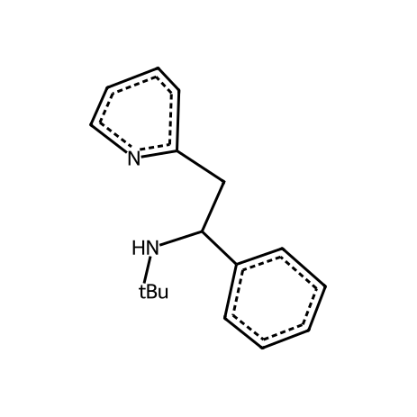 CC(C)(C)NC(Cc1ccccn1)c1ccccc1